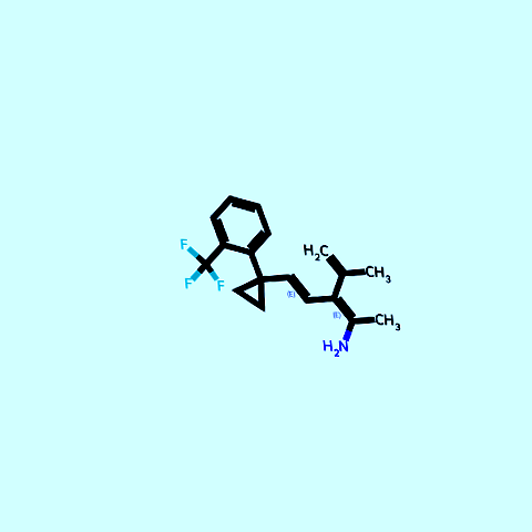 C=C(C)C(/C=C/C1(c2ccccc2C(F)(F)F)CC1)=C(\C)N